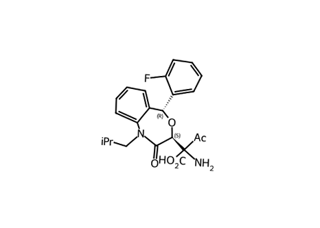 CC(=O)C(N)(C(=O)O)[C@@H]1O[C@@H](c2ccccc2F)c2ccccc2N(CC(C)C)C1=O